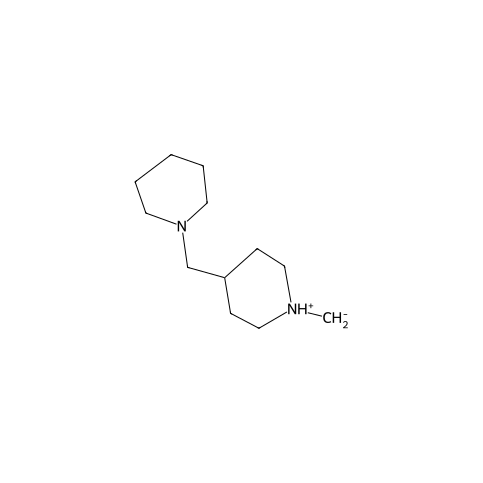 [CH2-][NH+]1CCC(CN2CCCCC2)CC1